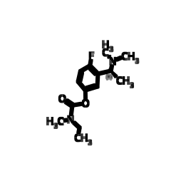 CCN(C)C(=O)Oc1ccc(F)c([C@H](C)N(C)C)c1